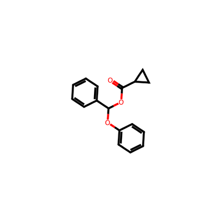 O=C(OC(Oc1ccccc1)c1ccccc1)C1CC1